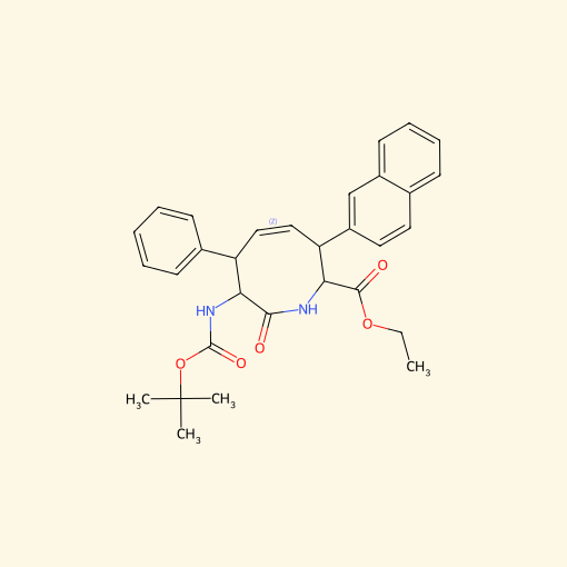 CCOC(=O)C1NC(=O)C(NC(=O)OC(C)(C)C)C(c2ccccc2)/C=C\C1c1ccc2ccccc2c1